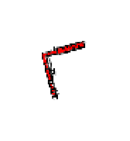 OCl.OCl.OCl.OCl.OCl.[Li+].[Li+].[Li+].[Li+].[Li+].[Li+].[Li+].[Li+].[Li+].[Li+].[Li+].[Li+].[Li+].[Li+].[Li+].[Li+].[Li+].[Li+].[Li+].[Li+].[Li+].[Li+].[Li+].[Li+].[Li+].[O-]Cl.[O-]Cl.[O-]Cl.[O-]Cl.[O-]Cl.[O-]Cl.[O-]Cl.[O-]Cl.[O-]Cl.[O-]Cl.[O-]Cl.[O-]Cl.[O-]Cl.[O-]Cl.[O-]Cl.[O-]Cl.[O-]Cl.[O-]Cl.[O-]Cl.[O-]Cl.[O-]Cl.[O-]Cl.[O-]Cl.[O-]Cl.[O-]Cl